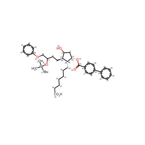 CC(C)(C)[Si](C)(C)OC(CC[C@H]1C(O)C[C@H](OC(=O)c2ccc(-c3ccccc3)cc2)[C@@H]1CCCCCCC(=O)O)COc1ccccc1